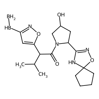 BBc1cc(C(C(=O)N2CC(O)CC2C2=NOC3(CCCC3)N2)C(C)C)on1